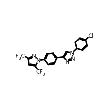 FC(F)(F)c1cc(C(F)(F)F)n(-c2ccc(-c3cn(C4C=CC(Cl)=CC4)nn3)cc2)n1